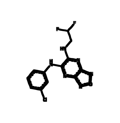 FC(F)CNc1nc2nonc2nc1Nc1cccc(Cl)c1